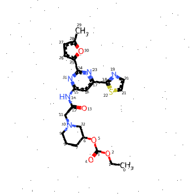 CCOC(=O)OC1CCCN(CC(=O)Nc2cc(-c3nccs3)nc(-c3ccc(C)o3)n2)C1